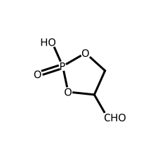 O=CC1COP(=O)(O)O1